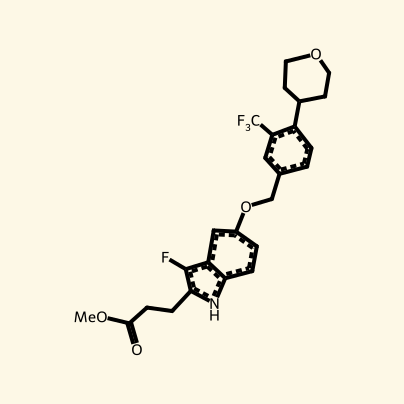 COC(=O)CCc1[nH]c2ccc(OCc3ccc(C4CCOCC4)c(C(F)(F)F)c3)cc2c1F